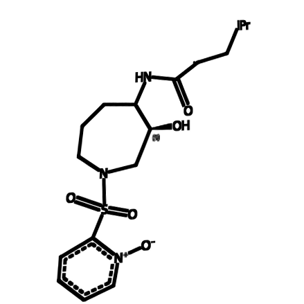 CC(C)C[CH]C(=O)NC1CCCN(S(=O)(=O)c2cccc[n+]2[O-])C[C@@H]1O